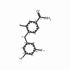 Cc1cc(C(N)=O)ccc1Cc1cc(F)cc(F)c1